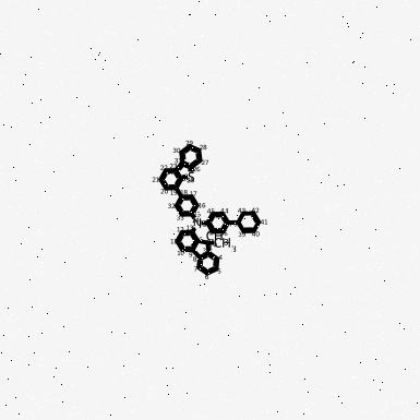 CC1(C)c2ccccc2-c2cccc(N(c3ccc(-c4cccc5c4sc4ccccc45)cc3)c3ccc(C4C=CC=CC4)cc3)c21